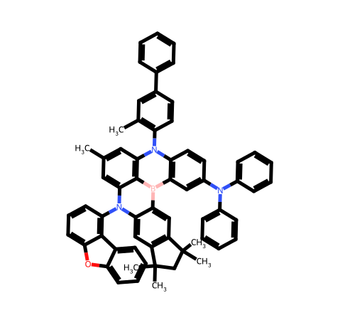 Cc1cc2c3c(c1)N(c1cccc4oc5ccccc5c14)c1cc4c(cc1B3c1cc(N(c3ccccc3)c3ccccc3)ccc1N2c1ccc(-c2ccccc2)cc1C)C(C)(C)CC4(C)C